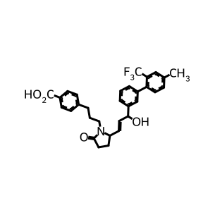 Cc1ccc(-c2cccc(C(O)/C=C/C3CCC(=O)N3CCCc3ccc(C(=O)O)cc3)c2)c(C(F)(F)F)c1